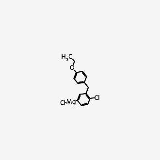 CCOc1ccc(Cc2c[c]([Mg][Cl])ccc2Cl)cc1